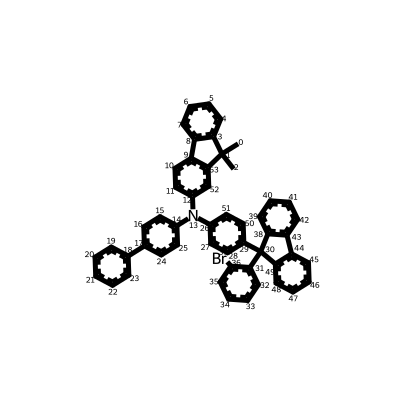 CC1(C)c2ccccc2-c2ccc(N(c3ccc(-c4ccccc4)cc3)c3ccc(C4(c5ccccc5Br)c5ccccc5-c5ccccc54)cc3)cc21